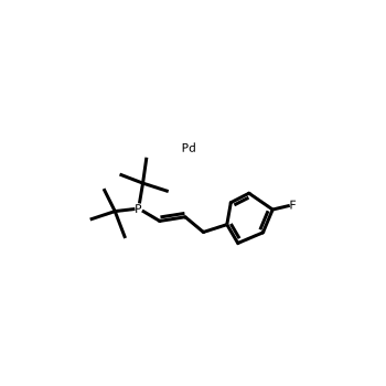 CC(C)(C)P(C=CCc1ccc(F)cc1)C(C)(C)C.[Pd]